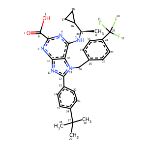 C[C@@H](Nc1nc(C(=O)O)nc2nc(-c3ccc(C(C)(C)C)cc3)n(Cc3ccc(C(F)(F)F)cc3)c12)C1CC1